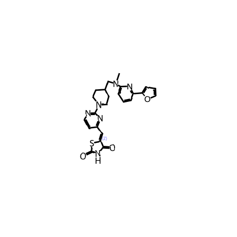 CN(CC1CCN(c2nccc(/C=C3\SC(=O)NC3=O)n2)CC1)c1cccc(-c2ccco2)n1